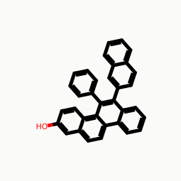 Oc1ccc2c(ccc3c4ccccc4c(-c4ccc5ccccc5c4)c(-c4ccccc4)c23)c1